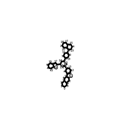 c1ccc2cc3c(cc2c1)oc1ccc(-c2nc(-c4ccc(-c5cccc6ccccc56)cc4)cc(-c4cc5ccccc5o4)n2)cc13